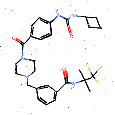 CC(C)(NC(=O)c1cccc(CN2CCN(C(=O)c3ccc(NC(=O)NC4CCC4)cc3)CC2)c1)C(F)(F)F